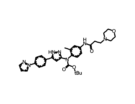 Cc1cc(NC(=O)CCN2CCOCC2)ccc1N(C(=O)OC(C)(C)C)c1cc(-c2ccc(-n3cccn3)cc2)[nH]n1